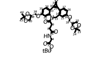 CC(C)(C)OC(=O)CNC(=O)CCC(=O)N1Cc2cc(OC[C@@H]3COC(C)(C)O3)ccc2-c2c(c2=O)-c2ccc(OC[C@@H]3COC(C)(C)O3)cc21